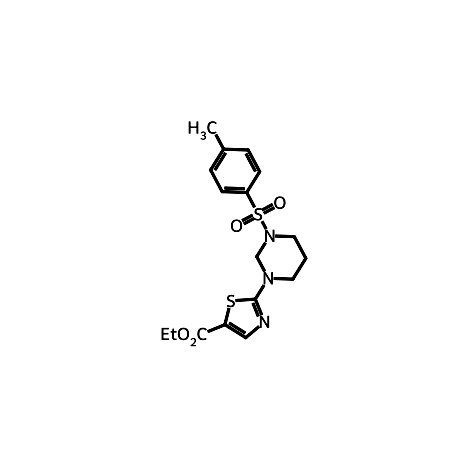 CCOC(=O)c1cnc(N2CCCN(S(=O)(=O)c3ccc(C)cc3)C2)s1